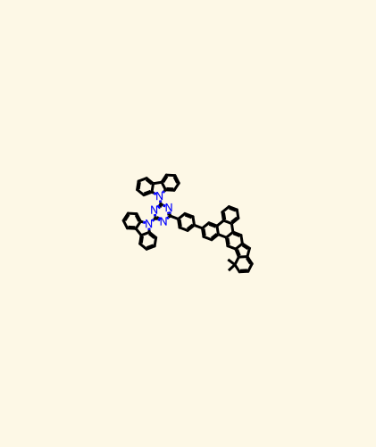 CC1(C)C=CC=C2C=c3cc4c5ccccc5c5cc(-c6ccc(-c7nc(-n8c9ccccc9c9ccccc98)nc(-n8c9ccccc9c9ccccc98)n7)cc6)ccc5c4cc3=C21